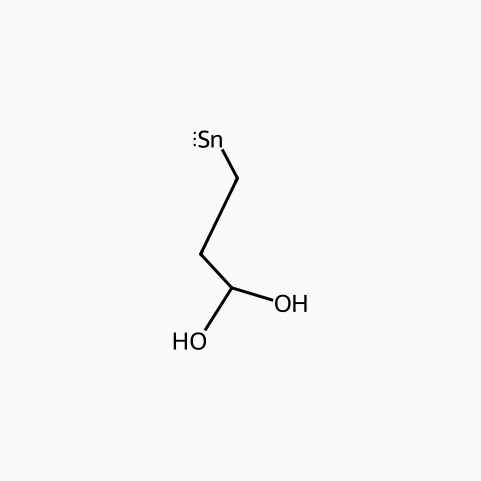 OC(O)C[CH2][Sn]